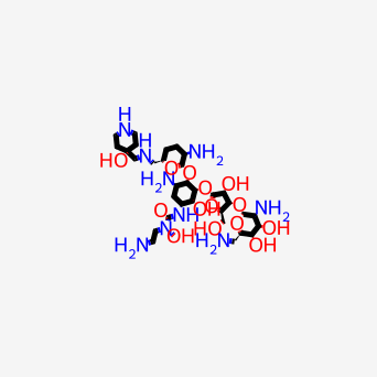 NCCN(O)C(=O)N[C@@H]1C[C@H](N)[C@@H](O[C@H]2O[C@H](CNCC3(O)CCNCC3)CC[C@H]2N)[C@H](O[C@@H]2O[C@H](CO)[C@@H](O[C@H]3O[C@@H](CN)[C@@H](O)[C@H](O)[C@H]3N)[C@H]2O)[C@H]1O